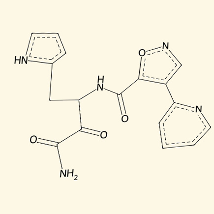 NC(=O)C(=O)C(Cc1ccc[nH]1)NC(=O)c1oncc1-c1ccccn1